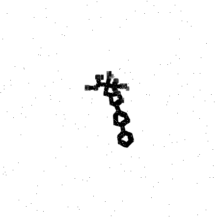 CCOC(O)C(C)(CC1CC(c2ccc(-c3ccccc3)cc2)=NO1)S(C)(=O)=O